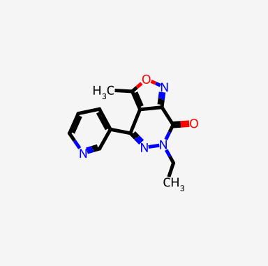 CCn1nc(-c2cccnc2)c2c(C)onc2c1=O